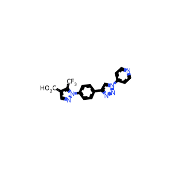 O=C(O)c1cnn(-c2ccc(-c3cn(-c4ccncc4)nn3)cc2)c1C(F)(F)F